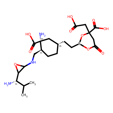 CC(C)[C@H](N)C1OC1NC[C@@H]1CC[C@@H](CCB2OC(=O)CC(CC(=O)O)(C(=O)O)O2)C[C@]1(N)C(=O)O